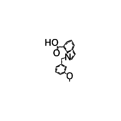 COc1cccc(Cn2ccc3cccc(C(=O)O)c32)c1